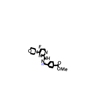 COC(=O)C1C=CC(/C=N\Nc2ncc(F)c(N3CCOCC3)n2)=CC1